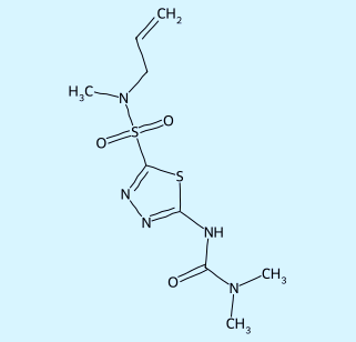 C=CCN(C)S(=O)(=O)c1nnc(NC(=O)N(C)C)s1